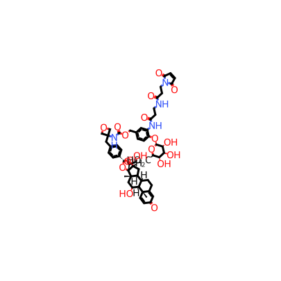 C[C@]12C=CC(=O)C=C1CC[C@@H]1[C@@H]2[C@@H](O)C[C@@]2(C)[C@H]1C[C@H]1O[C@@H](c3ccc(CC4(NC(=O)OCc5ccc(O[C@@H]6O[C@H](C(=O)O)[C@@H](O)[C@H](O)[C@H]6O)c(NC(=O)CCNC(=O)CCN6C(=O)C=CC6=O)c5)COC4)cc3)O[C@]12C(=O)CO